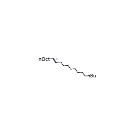 CCCCCCCC/C=C/CCCCCCCCC(C)CC